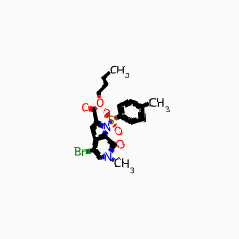 CCCCOC(=O)c1cc2c(Br)cn(C)c(=O)c2n1S(=O)(=O)c1ccc(C)cc1